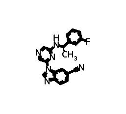 C[C@H](Nc1cncc(-n2cnc3ccc(C#N)cc32)n1)c1cccc(F)c1